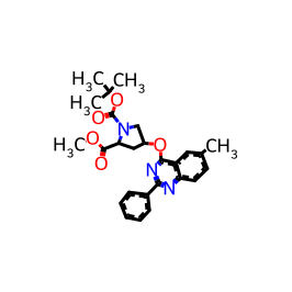 COC(=O)C1CC(Oc2nc(-c3ccccc3)nc3ccc(C)cc23)CN1C(=O)OC(C)(C)C